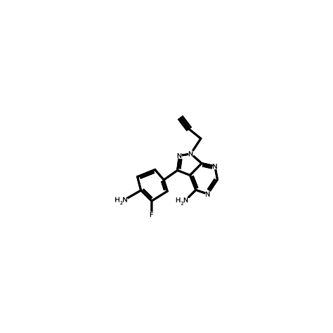 C#CCn1nc(-c2ccc(N)c(F)c2)c2c(N)ncnc21